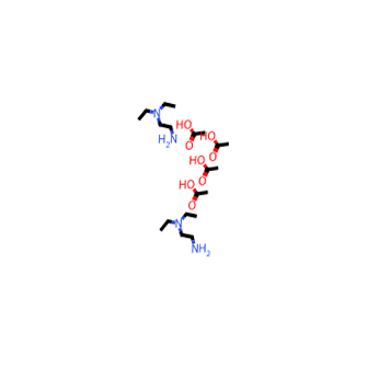 CC(=O)O.CC(=O)O.CC(=O)O.CC(=O)O.CCN(CC)CCN.CCN(CC)CCN